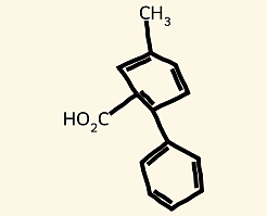 Cc1ccc(-c2ccccc2)c(C(=O)O)c1